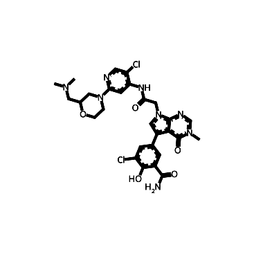 CN(C)CC1CN(c2cc(NC(=O)Cn3cc(-c4cc(Cl)c(O)c(C(N)=O)c4)c4c(=O)n(C)cnc43)c(Cl)cn2)CCO1